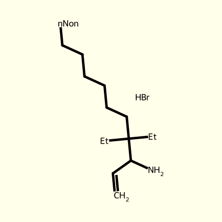 Br.C=CC(N)C(CC)(CC)CCCCCCCCCCCCCCC